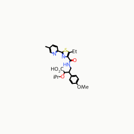 CCc1sc(-c2ccc(C)cn2)nc1C(=O)NCC(c1ccc(OC)cc1)C(OC(C)C)C(=O)O